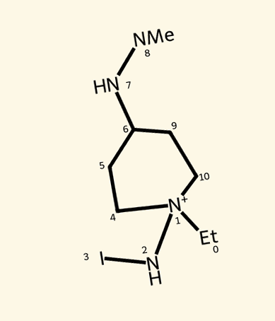 CC[N+]1(NI)CCC(NNC)CC1